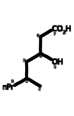 CCCC(C)CC(O)CC(=O)O